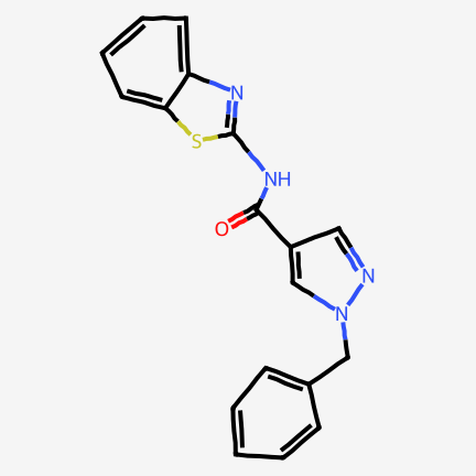 O=C(Nc1nc2ccccc2s1)c1cnn(Cc2ccccc2)c1